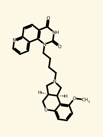 COc1cccc2c1[C@@H]1CN(CCCCn3c(=O)[nH]c(=O)c4ccc5ncccc5c43)C[C@@H]1CO2